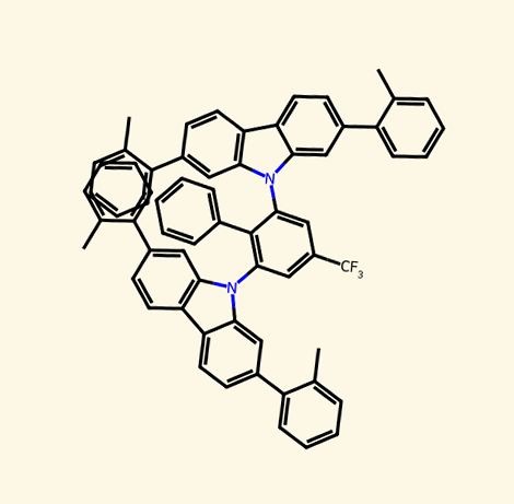 Cc1ccccc1-c1ccc2c3ccc(-c4ccccc4C)cc3n(-c3cc(C(F)(F)F)cc(-n4c5cc(-c6ccccc6C)ccc5c5ccc(-c6ccccc6C)cc54)c3-c3ccccc3)c2c1